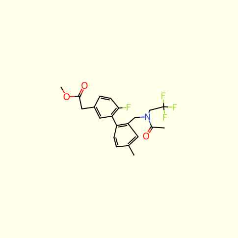 COC(=O)Cc1ccc(F)c(-c2ccc(C)cc2CN(CC(F)(F)F)C(C)=O)c1